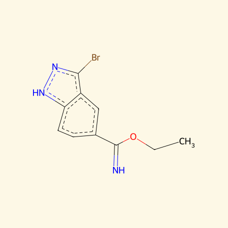 CCOC(=N)c1ccc2[nH]nc(Br)c2c1